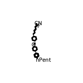 CCCCCc1ccc([C@H]2CC[C@H](OC[C@H]3CC[C@H](CCC=CC=C(F)C#N)CC3)CC2)cc1